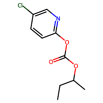 CCC(C)OC(=O)Oc1ccc(Cl)cn1